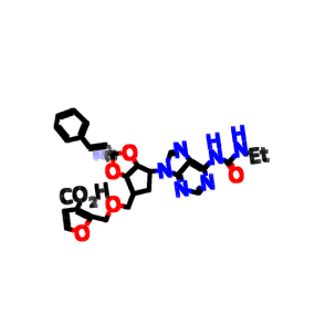 CCNC(=O)Nc1ncnc2c1ncn2C1CC(COCc2occc2C(=O)O)C2O[C@H](/C=C/c3ccccc3)OC21